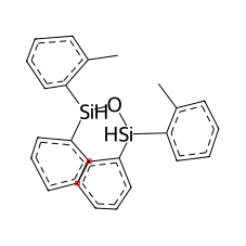 Cc1ccccc1[SiH](O[SiH](c1ccccc1)c1ccccc1C)c1ccccc1